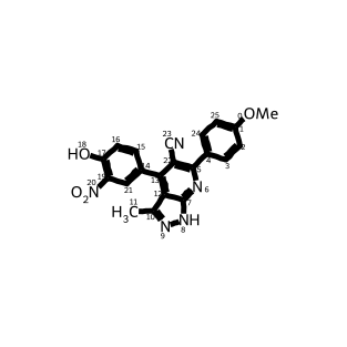 COc1ccc(-c2nc3[nH]nc(C)c3c(-c3ccc(O)c([N+](=O)[O-])c3)c2C#N)cc1